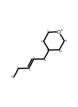 CC/C=C/CC1CCOCC1